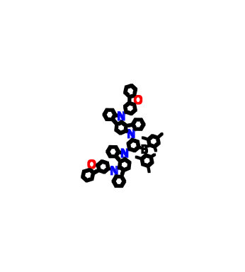 Cc1cc(C)c(B(c2cc(-n3c4ccccc4c4c3ccc3c5ccccc5n(-c5ccc6oc7ccccc7c6c5)c34)cc(-n3c4ccccc4c4c3ccc3c5ccccc5n(-c5ccc6oc7ccccc7c6c5)c34)c2)c2c(C)cc(C)cc2C)c(C)c1